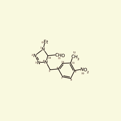 CCN1N=NN(Cc2ccc([N+](=O)[O-])c(C)c2)C1C=O